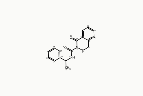 CC(NC(=O)N1SCc2ncccc2C1=O)c1ccccc1